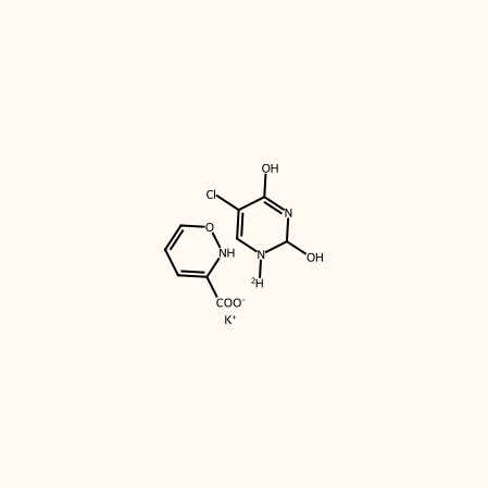 O=C([O-])C1=CC=CON1.[2H]N1C=C(Cl)C(O)=NC1O.[K+]